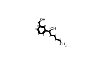 CCCCCC(O)c1cccc(CO)c1